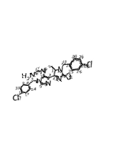 C=C1C(c2ncn(Cc3ccc(Cl)cc3)c2/N=C\N)=NC(=O)N1Cc1ccc(Cl)cc1